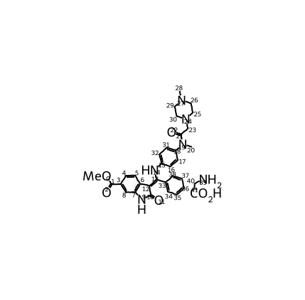 COC(=O)c1ccc2c(c1)NC(=O)C2=C(Nc1ccc(N(C)C(=O)CN2CCN(C)CC2)cc1)c1ccccc1.NCC(=O)O